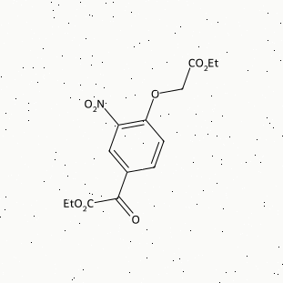 CCOC(=O)COc1ccc(C(=O)C(=O)OCC)cc1[N+](=O)[O-]